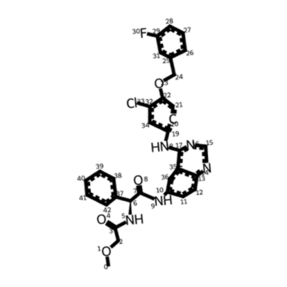 COCC(=O)N[C@H](C(=O)Nc1ccc2ncnc(Nc3ccc(OCc4cccc(F)c4)c(Cl)c3)c2c1)c1ccccc1